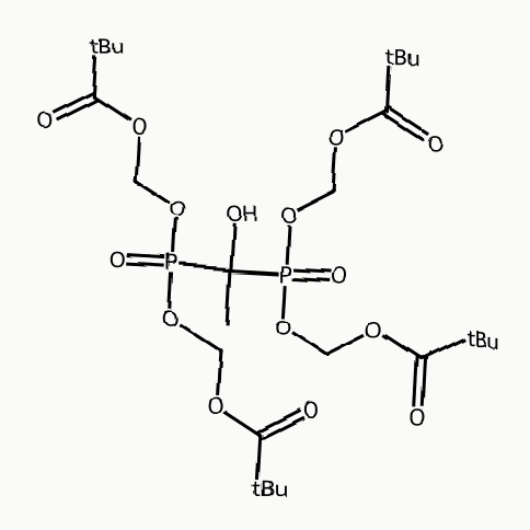 CC(C)(C)C(=O)OCOP(=O)(OCOC(=O)C(C)(C)C)C(C)(O)P(=O)(OCOC(=O)C(C)(C)C)OCOC(=O)C(C)(C)C